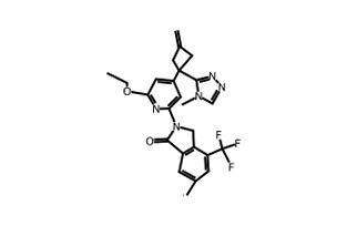 [CH2]c1cc2c(c(C(F)(F)F)c1)CN(c1cc(C3(c4nncn4C)CC(=C)C3)cc(OCC)n1)C2=O